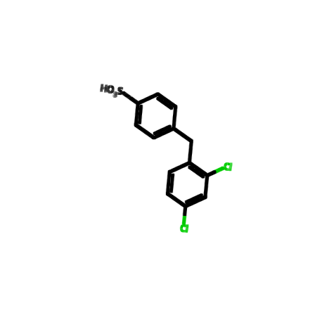 O=S(=O)(O)c1ccc(Cc2ccc(Cl)cc2Cl)cc1